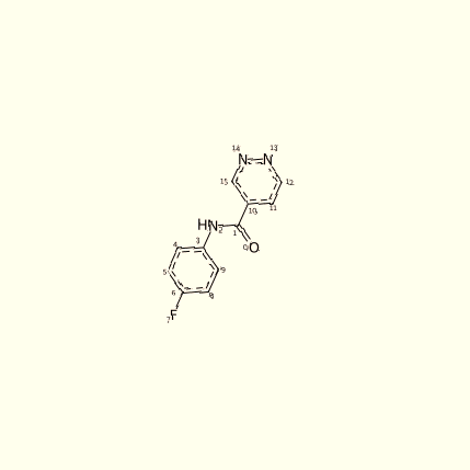 O=C(Nc1ccc(F)cc1)c1ccnnc1